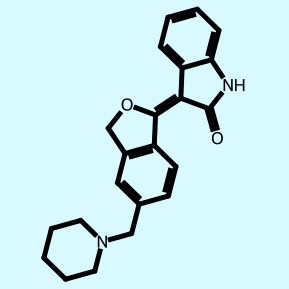 O=C1Nc2ccccc2/C1=C1\OCc2cc(CN3CCCCC3)ccc21